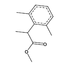 COC(=O)C(C)c1c(C)cccc1C